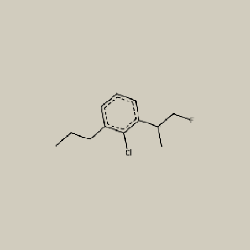 CCCc1cccc([C](C)CF)c1Cl